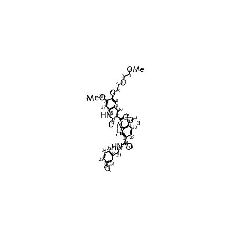 COCCOCCOc1cc2cc(C(=O)Nc3cc(C(=O)NCc4cccc(Cl)c4)ccc3C)c(=O)[nH]c2cc1OC